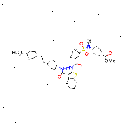 CCN(C1CCC(C(=O)OC)CC1)S(=O)(=O)c1cccc(C(=O)Nc2sc3c(c2C(=O)Nc2ccc(CCc4ccc(C(=O)O)cc4)cc2)CCCC3)c1